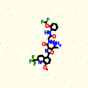 COc1ccc(-c2nc(C(=O)NCC(=O)Nc3ccccc3OC(F)F)c([C@H](C)N)o2)c2ccc(C(F)(F)F)nc12